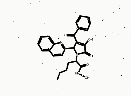 CCCCC(C(=O)NO)N1C(=O)C(O)=C(C(=O)c2ccccc2)C1c1ccc2ccccc2n1